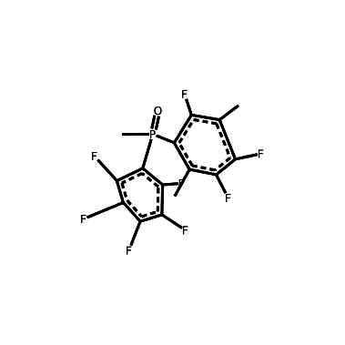 Cc1c(F)c(F)c(C)c(P(C)(=O)c2c(F)c(F)c(F)c(F)c2F)c1F